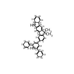 CC1(C)c2ccc(C3=CC(C4=CCCC=C4)NC(C4=CCCC=C4)=C3)cc2-c2cc3c(cc21)C1C=CC=CC1N3